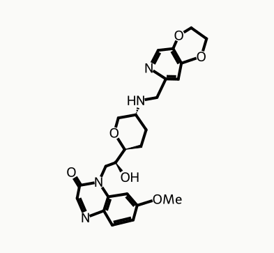 COc1ccc2ncc(=O)n(C[C@H](O)[C@@H]3CC[C@@H](NCc4cc5c(cn4)OCCO5)CO3)c2c1